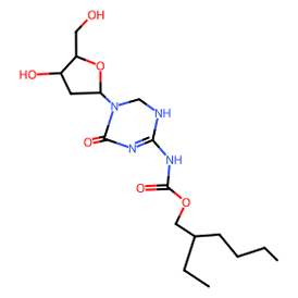 CCCCC(CC)COC(=O)NC1=NC(=O)N(C2CC(O)C(CO)O2)CN1